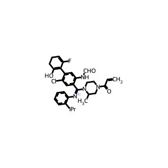 C=CC(=O)N1CCN(/C(=N/c2ccccc2C(C)C)c2cc(Cl)c(C3=C(O)CCC=C3F)cc2NC=O)C(C)C1